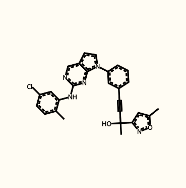 Cc1cc(C(C)(O)C#Cc2cccc(-n3ccc4cnc(Nc5cc(Cl)ccc5C)nc43)c2)no1